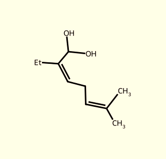 CCC(=CCC=C(C)C)C(O)O